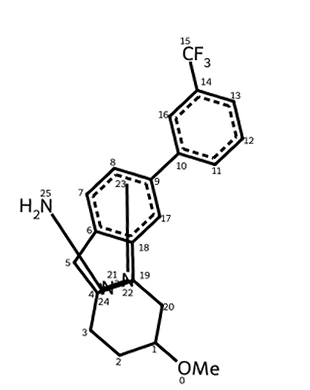 COC1CCC23Cc4ccc(-c5cccc(C(F)(F)F)c5)cc4C2(C1)CN(C)C(N)=N3